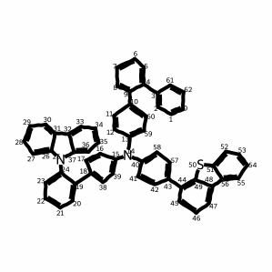 c1ccc(-c2ccccc2-c2ccc(N(c3ccc(-c4ccccc4-n4c5ccccc5c5ccccc54)cc3)c3ccc(-c4cccc5c4sc4ccccc45)cc3)cc2)cc1